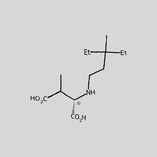 CCC(C)(CC)CCN[C@H](C(=O)O)C(C)C(=O)O